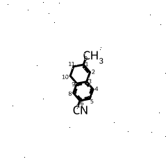 CC1=Cc2ccc(C#N)cc2CC1